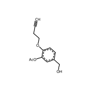 C#CCCOc1ccc(CO)cc1OC(C)=O